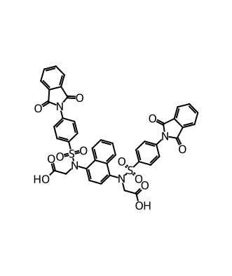 O=C(O)CN(c1ccc(N(CC(=O)O)S(=O)(=O)c2ccc(N3C(=O)c4ccccc4C3=O)cc2)c2ccccc12)S(=O)(=O)c1ccc(N2C(=O)c3ccccc3C2=O)cc1